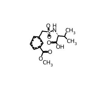 COC(=O)c1cccc(CS(=O)(=O)N[C@@H](C(=O)O)C(C)C)c1